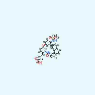 CC(NC(=O)c1cc(Oc2ccc(NS(C)(=O)=O)cc2)ccc1CCCC(=O)O)c1cccc2ccccc12